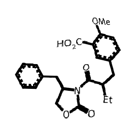 CCC(Cc1ccc(OC)c(C(=O)O)c1)C(=O)N1C(=O)OCC1Cc1ccccc1